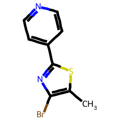 Cc1sc(-c2ccncc2)nc1Br